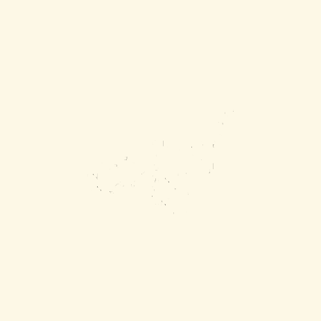 COc1cc(-c2ccc(Cl)c(C)c2)c(Cl)cc1N(c1ccon1)S(=O)(=O)c1ccc2cnncc2c1